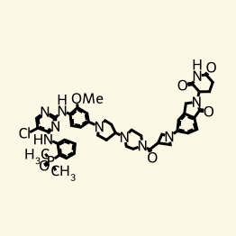 COc1cc(N2CCC(N3CCN(C(=O)C4CN(c5ccc6c(c5)CN(C5CCC(=O)NC5=O)C6=O)C4)CC3)CC2)ccc1Nc1ncc(Cl)c(Nc2ccccc2P(C)(C)=O)n1